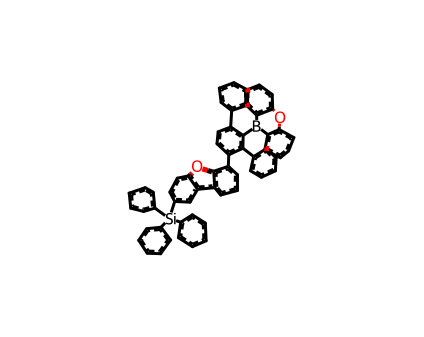 c1ccc(-c2ccc(-c3cccc4c3oc3ccc([Si](c5ccccc5)(c5ccccc5)c5ccccc5)cc34)c(-c3ccccc3)c2B2c3ccccc3Oc3ccccc32)cc1